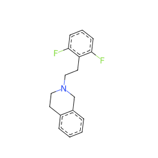 Fc1cccc(F)c1CCN1CCc2ccccc2C1